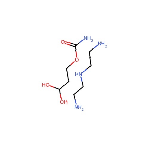 NC(=O)OCCC(O)O.NCCNCCN